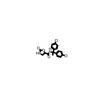 CC(NC(=O)C1CNC(=O)O1)(c1ccc(Cl)cc1)c1ccc(Cl)cc1